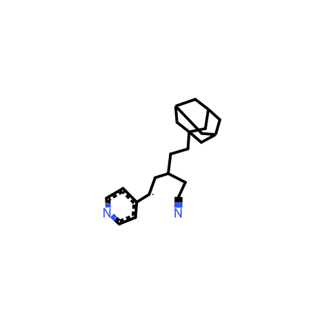 N#CCC(C[CH]c1ccncc1)CCC12CC3CC(CC(C3)C1)C2